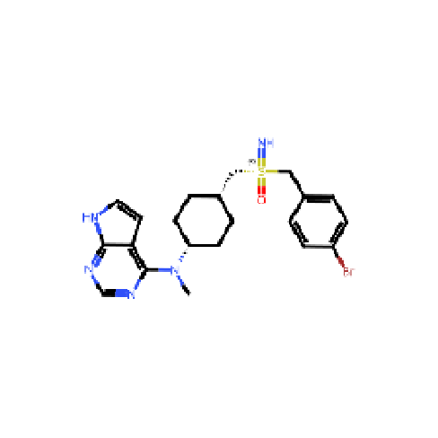 CN(c1ncnc2[nH]ccc12)[C@H]1CC[C@@H](C[S@@](=N)(=O)Cc2ccc(Br)cc2)CC1